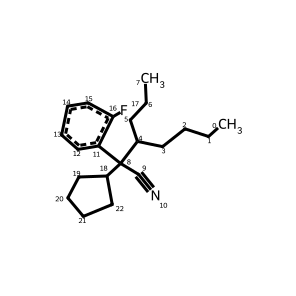 CCCCC(CCC)C(C#N)(c1ccccc1F)C1CCCC1